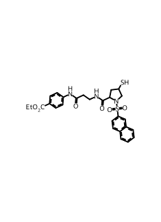 CCOC(=O)c1ccc(NC(=O)CCNC(=O)C2CC(S)CN2S(=O)(=O)c2ccc3ccccc3c2)cc1